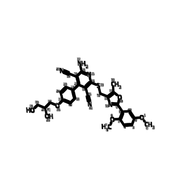 COc1ccc(OC)c(-c2nc(CSc3nc(N)c(C#N)c(-c4ccc(OC[C@@H](O)CO)cc4)c3C#N)c(C)o2)c1